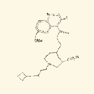 COc1ccc2ncc(F)c(C(=O)CCC3CCN(CCSC4CCC4)CC3C(=O)O)c2c1